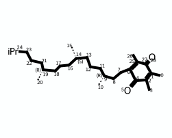 CC1=C(C)C(=O)C(CC[C@H](C)CCC[C@@H](C)CCC[C@H](C)CCCC(C)C)=C(C)C1=O